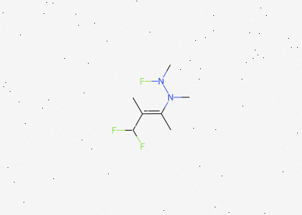 C/C(=C(/C)N(C)N(C)F)C(F)F